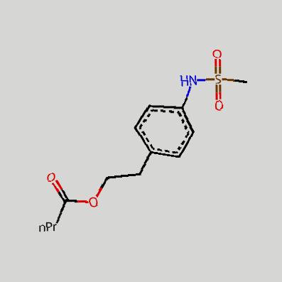 CCCC(=O)OCCc1ccc(NS(C)(=O)=O)cc1